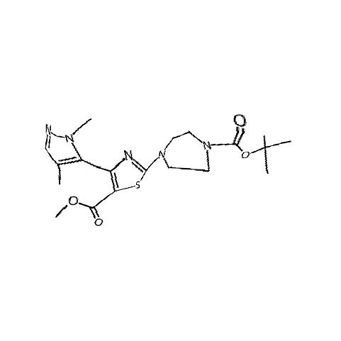 COC(=O)c1sc(N2CCN(C(=O)OC(C)(C)C)CC2)nc1-c1c(C)cnn1C